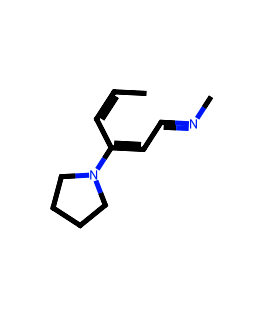 C\C=C/C(=C\C=N\C)N1CCCC1